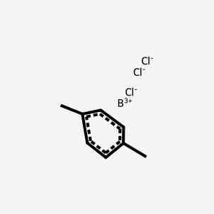 Cc1ccc(C)cc1.[B+3].[Cl-].[Cl-].[Cl-]